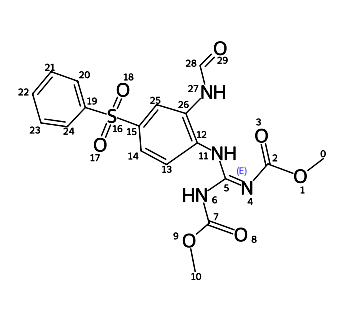 COC(=O)/N=C(/NC(=O)OC)Nc1ccc(S(=O)(=O)c2ccccc2)cc1NC=O